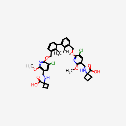 COc1nc(OCc2cccc(-c3cccc(COc4nc(OC)c(CNC5(C(=O)O)CCC5)cc4Cl)c3C)c2C)c(Cl)cc1CNC1(C(=O)O)CCC1